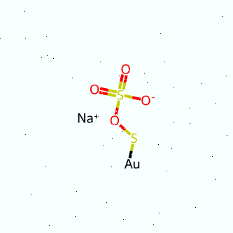 O=S(=O)([O-])O[S][Au].[Na+]